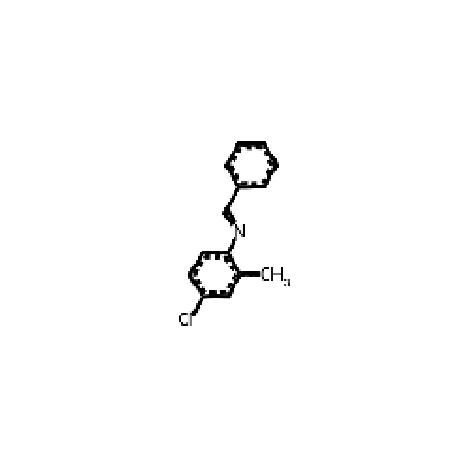 Cc1cc(Cl)ccc1N=Cc1ccccc1